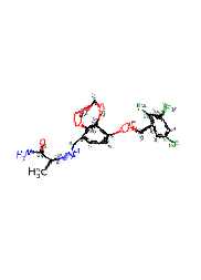 CC(NCc1ccc(OCc2cc(F)cc(F)c2F)c2c1OCO2)C(N)=O